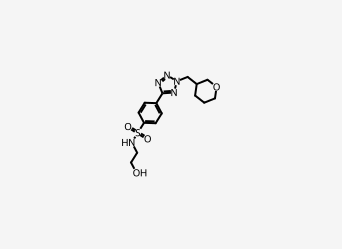 O=S(=O)(NCCO)c1ccc(-c2nnn(CC3CCCOC3)n2)cc1